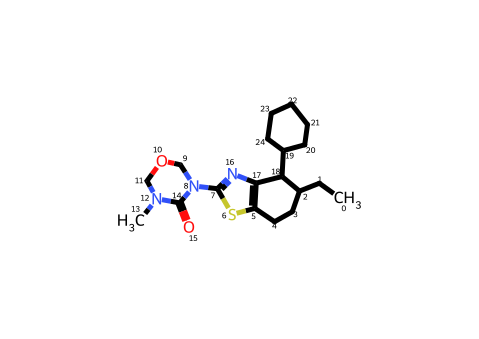 CCC1CCc2sc(N3COCN(C)C3=O)nc2C1C1CCCCC1